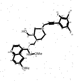 CON[C@@H](CC[C@@H]1CCN(CC#Cc2cc(F)cc(F)c2F)C[C@@H]1CO)c1ccnc2ccc(OC)cc12